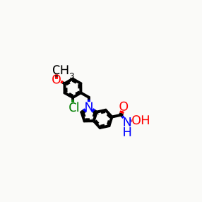 COc1ccc(Cn2ccc3ccc(C(=O)NO)cc32)c(Cl)c1